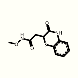 CONC(=O)CC1Sc2ccccc2NC1=O